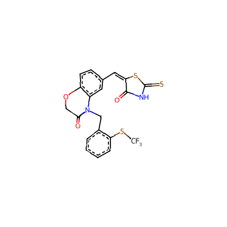 O=C1NC(=S)SC1=Cc1ccc2c(c1)N(Cc1ccccc1SC(F)(F)F)C(=O)CO2